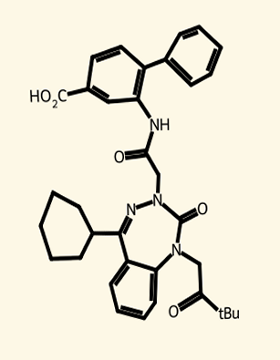 CC(C)(C)C(=O)CN1C(=O)N(CC(=O)Nc2cc(C(=O)O)ccc2-c2ccccc2)N=C(C2CCCCC2)c2ccccc21